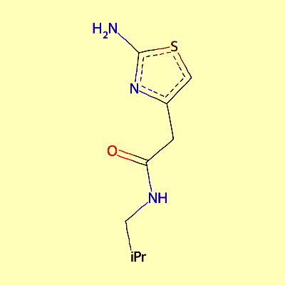 CC(C)CNC(=O)Cc1csc(N)n1